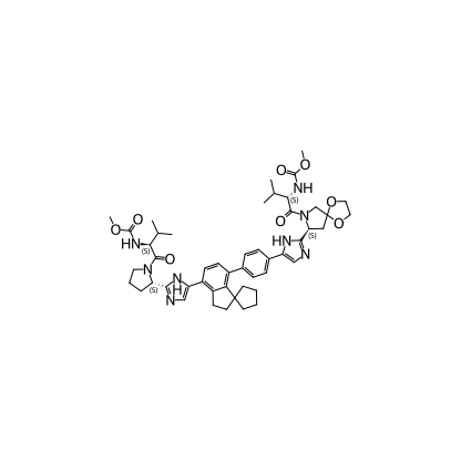 COC(=O)N[C@H](C(=O)N1CC2(C[C@H]1c1ncc(-c3ccc(-c4ccc(-c5cnc([C@@H]6CCCN6C(=O)[C@@H](NC(=O)OC)C(C)C)[nH]5)c5c4C4(CCCC4)CC5)cc3)[nH]1)OCCO2)C(C)C